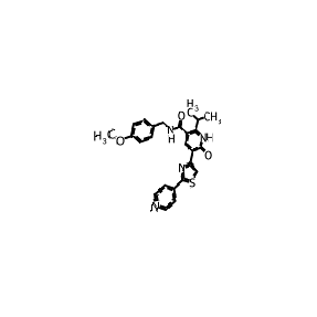 COc1ccc(CNC(=O)c2cc(-c3csc(-c4ccncc4)n3)c(=O)[nH]c2C(C)C)cc1